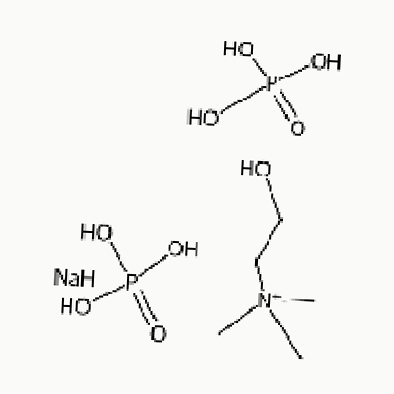 C[N+](C)(C)CCO.O=P(O)(O)O.O=P(O)(O)O.[NaH]